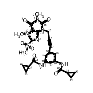 Cn1c(=O)c2c(nc(S(C)(=O)=O)n2C)n(CC#Cc2cc(NC(=O)C3CC3)cc(NC(=O)C3CC3)c2)c1=O